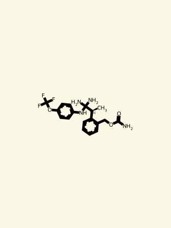 C[C@@H](c1ccccc1COC(N)=O)C(N)(N)Nc1ccc(OC(F)(F)F)cc1